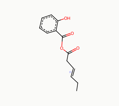 CC/C=C/CC(=O)OC(=O)c1ccccc1O